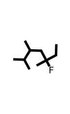 CCC(C)(F)CC(C)C(C)C